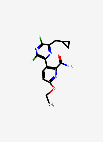 CCOc1ccc(-c2nc(CC3CC3)c(Br)nc2Br)c(C(N)=O)n1